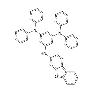 c1ccc(N(c2ccccc2)c2cc(Nc3ccc4c(c3)oc3ccccc34)cc(N(c3ccccc3)c3ccccc3)c2)cc1